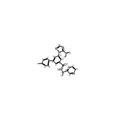 Cc1ccc(-c2cc(C(=O)NC(C)c3cnccn3)cc(-n3ncnc3N(C)C)c2)cc1